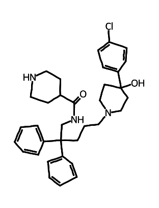 O=C(NCC(CCCN1CCC(O)(c2ccc(Cl)cc2)CC1)(c1ccccc1)c1ccccc1)C1CCNCC1